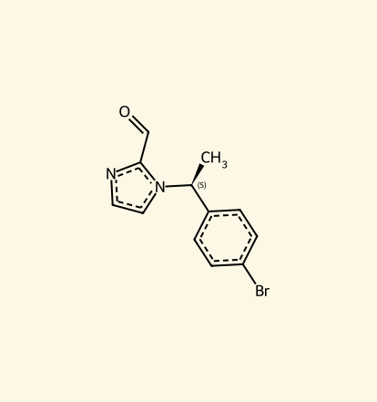 C[C@@H](c1ccc(Br)cc1)n1ccnc1C=O